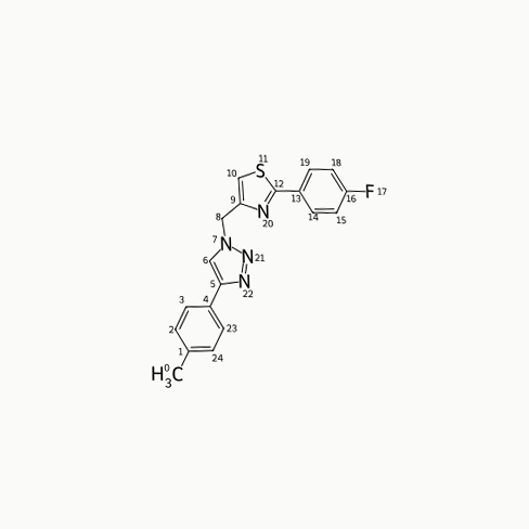 Cc1ccc(-c2cn(Cc3csc(-c4ccc(F)cc4)n3)nn2)cc1